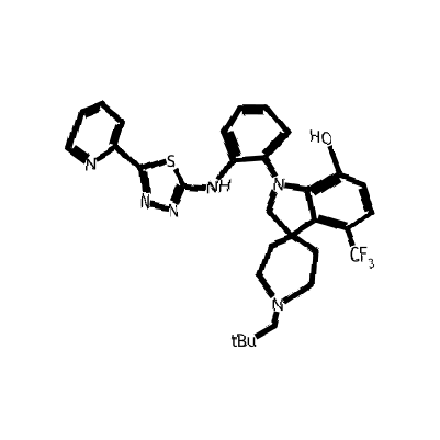 CC(C)(C)CN1CCC2(CC1)CN(c1ccccc1Nc1nnc(-c3ccccn3)s1)c1c(O)ccc(C(F)(F)F)c12